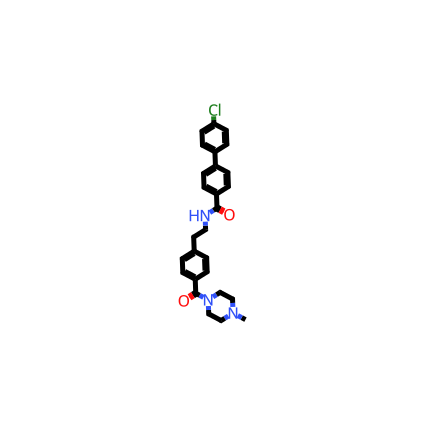 CN1CCN(C(=O)c2ccc(CCNC(=O)c3ccc(-c4ccc(Cl)cc4)cc3)cc2)CC1